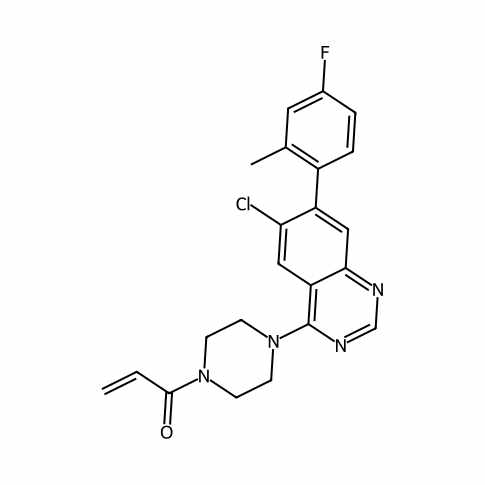 C=CC(=O)N1CCN(c2ncnc3cc(-c4ccc(F)cc4C)c(Cl)cc23)CC1